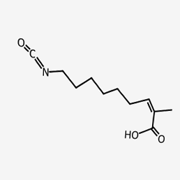 CC(=CCCCCCCN=C=O)C(=O)O